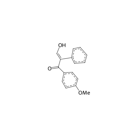 COc1ccc(C(=O)C(=CO)c2ccccc2)cc1